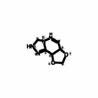 [CH]1NN=C2C3OCOC3C=NN12